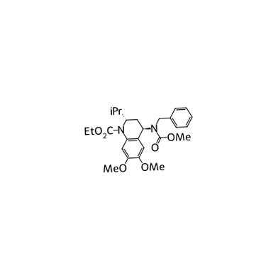 CCOC(=O)N1c2cc(OC)c(OC)cc2[C@H](N(Cc2ccccc2)C(=O)OC)C[C@H]1C(C)C